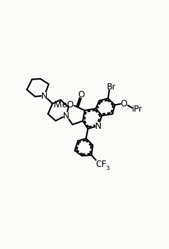 COC(=O)c1c(CN2CCC(N3CCCCC3)CC2)c(-c2cccc(C(F)(F)F)c2)nc2cc(OC(C)C)c(Br)cc12